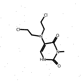 Cn1c(=O)[nH]cc(N(CCCl)CCCl)c1=O